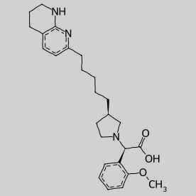 COc1ccccc1[C@H](C(=O)O)N1CC[C@@H](CCCCCc2ccc3c(n2)NCCC3)C1